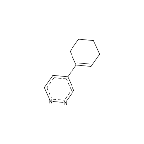 C1=C(c2ccnnc2)CCCC1